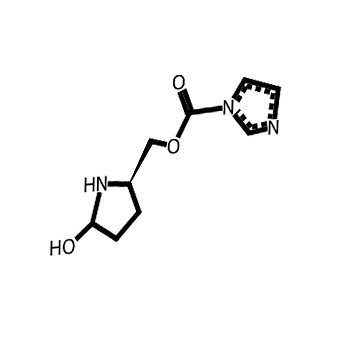 O=C(OC[C@H]1CCC(O)N1)n1ccnc1